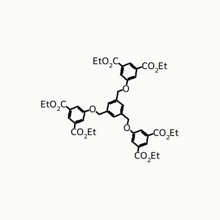 CCOC(=O)c1cc(OCc2cc(COc3cc(C(=O)OCC)cc(C(=O)OCC)c3)cc(COc3cc(C(=O)OCC)cc(C(=O)OCC)c3)c2)cc(C(=O)OCC)c1